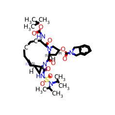 CC(C)N(C(C)C)S(=O)(=O)NC(=O)[C@@]12C[C@H]1/C=C/CCCCC[C@H](NC(=O)OC(C)(C)C)C(=O)N1C[C@H](OC(=O)N3Cc4ccccc4C3)C[C@H]1C(=O)N2